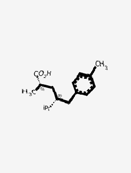 Cc1ccc(C[C@@H](C[C@H](C)C(=O)O)C(C)C)cc1